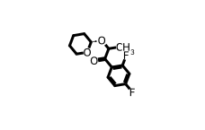 CC(O[C@H]1CCCCO1)C(=O)c1ccc(F)cc1F